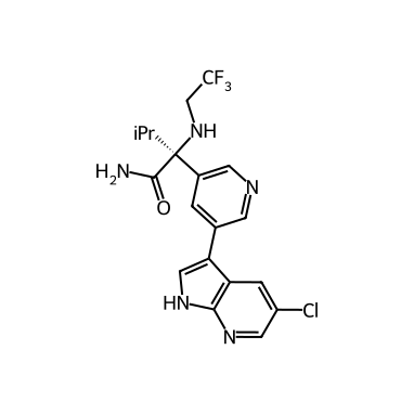 CC(C)[C@@](NCC(F)(F)F)(C(N)=O)c1cncc(-c2c[nH]c3ncc(Cl)cc23)c1